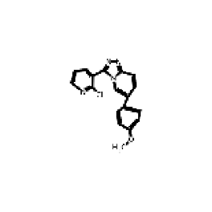 COc1ccc(-c2ccc3nnc(-c4cccnc4Cl)n3c2)cc1